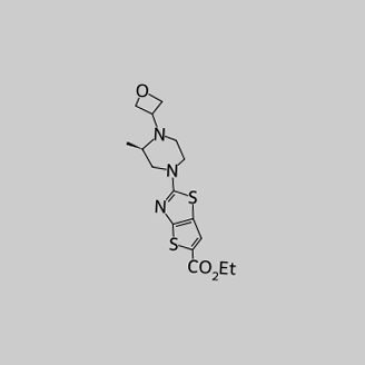 CCOC(=O)c1cc2sc(N3CCN(C4COC4)[C@H](C)C3)nc2s1